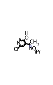 C/C(=N\OC(C)C)c1cc(Cl)nnc1O